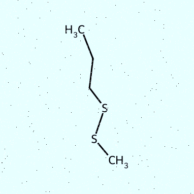 CCCSSC